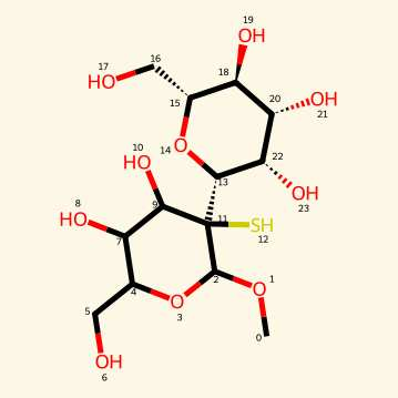 COC1OC(CO)C(O)C(O)C1(S)[C@@H]1O[C@H](CO)[C@@H](O)[C@H](O)[C@@H]1O